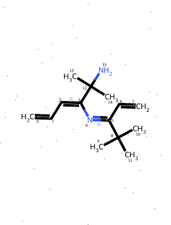 C=C/C=C(\N=C(/C=C)C(C)(C)C)C(C)(C)N